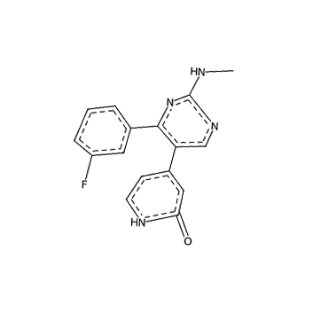 CNc1ncc(-c2cc[nH]c(=O)c2)c(-c2cccc(F)c2)n1